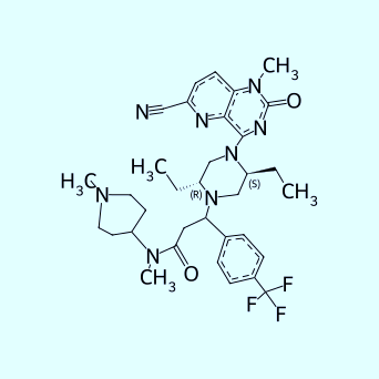 CC[C@H]1CN(C(CC(=O)N(C)C2CCN(C)CC2)c2ccc(C(F)(F)F)cc2)[C@H](CC)CN1c1nc(=O)n(C)c2ccc(C#N)nc12